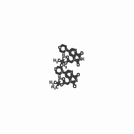 CC(C)(C)OC(=O)Cn1c(=O)[nH]c(=O)c2ncc(N3CCOCC3)cc21.CC(C)(C)OC(=O)Cn1c(Cl)nc(=O)c2ncc(N3CCOCC3)cc21